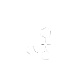 O=S(=O)(c1ccc(Cl)cc1)N1CCC[C@H]1c1ccsc1